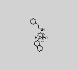 CP(=O)(OC(=O)NC=Cc1ccccc1)Oc1cccc2ccccc12